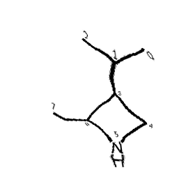 CC(C)C1CNC1C